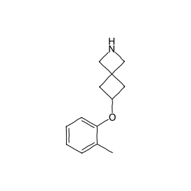 Cc1ccccc1OC1CC2(CNC2)C1